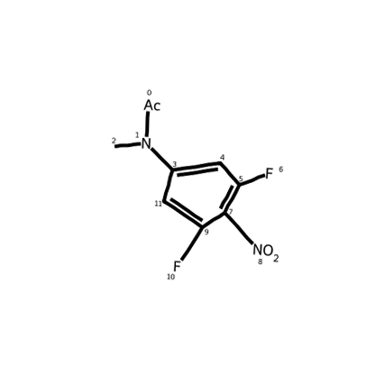 CC(=O)N(C)c1cc(F)c([N+](=O)[O-])c(F)c1